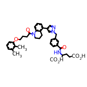 Cc1cccc(OCCCC(=O)N2CCCc3c(-c4cnn(Cc5cccc(C(=O)NC(CCC(=O)O)C(=O)O)c5)c4)cccc32)c1C